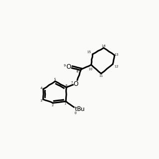 CC(C)(C)c1ccccc1OC(=O)C1CCCCC1